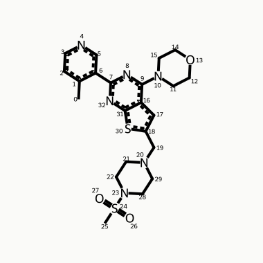 Cc1ccncc1-c1nc(N2CCOCC2)c2cc(CN3CCN(S(C)(=O)=O)CC3)sc2n1